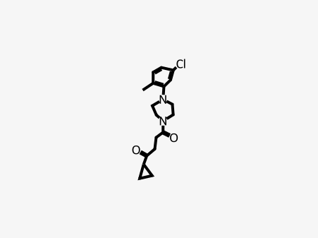 Cc1ccc(Cl)cc1N1CCN(C(=O)CCC(=O)C2CC2)CC1